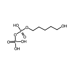 O=P(O)(O)OP(=O)(O)OCCCCCO